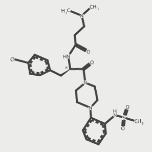 CN(C)CCC(=O)N[C@H](Cc1ccc(Cl)cc1)C(=O)N1CCN(c2ccccc2NS(C)(=O)=O)CC1